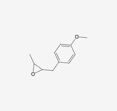 COc1ccc(CC2OC2C)cc1